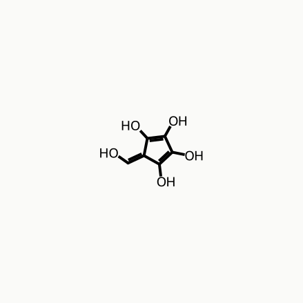 OC=C1C(O)=C(O)C(O)=C1O